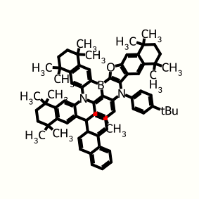 Cc1cc2c3c(c1)N(c1ccc(C(C)(C)C)cc1)c1c(oc4cc5c(cc14)C(C)(C)CCC5(C)C)B3c1cc3c(cc1N2c1cc2c(cc1C1C=CC=C4c5ccccc5C=CC41)C(C)(C)CCC2(C)C)C(C)(C)CCC3(C)C